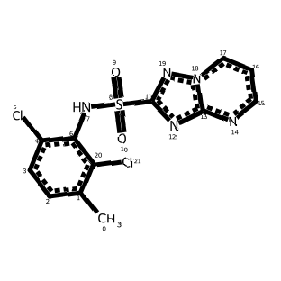 Cc1ccc(Cl)c(NS(=O)(=O)c2nc3ncccn3n2)c1Cl